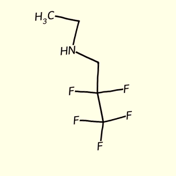 CCNCC(F)(F)C(F)(F)F